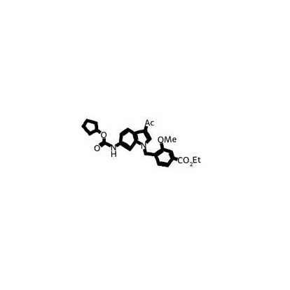 CCOC(=O)c1ccc(Cn2cc(C(C)=O)c3ccc(NC(=O)OC4CCCC4)cc32)c(OC)c1